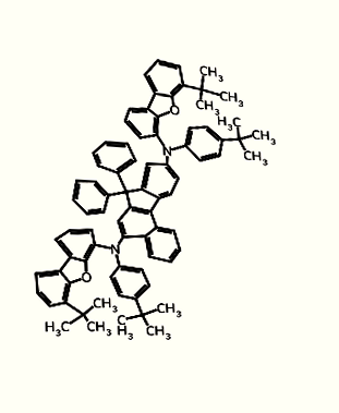 CC(C)(C)c1ccc(N(c2ccc3c(c2)C(c2ccccc2)(c2ccccc2)c2cc(N(c4ccc(C(C)(C)C)cc4)c4cccc5c4oc4c(C(C)(C)C)cccc45)c4ccccc4c2-3)c2cccc3c2oc2c(C(C)(C)C)cccc23)cc1